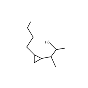 CCCCC1CC1C(C)C(C)S